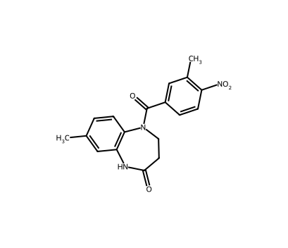 Cc1ccc2c(c1)NC(=O)CCN2C(=O)c1ccc([N+](=O)[O-])c(C)c1